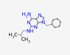 CC(C)CNc1nc(N)c2ncn(Cc3ccccc3)c2n1